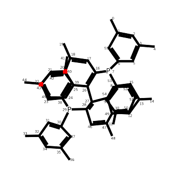 Cc1cc(C)cc(P(c2cc(C)cc(C)c2)c2cc(C)c3ccccc3c2-c2c(P(c3cc(C)cc(C)c3)c3cc(C)cc(C)c3)cc(C)c3ccccc23)c1